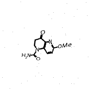 COc1ccc2c(n1)C(=O)CCN2C(N)=O